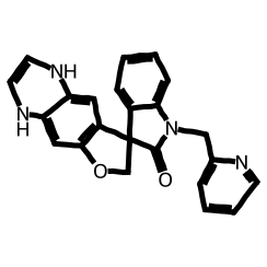 O=C1N(Cc2ccccn2)c2ccccc2C12COc1cc3c(cc12)NC=CN3